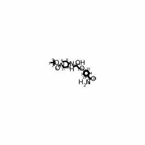 CC(C)(C)OC(=O)N1CCC(NCC(O)COc2ccc(C(N)=O)cc2)CC1